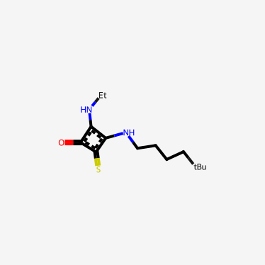 CCNc1c(NCCCCC(C)(C)C)c(=S)c1=O